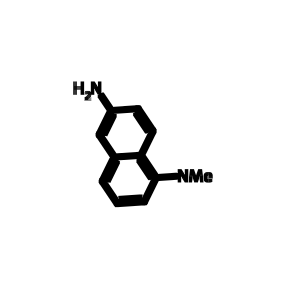 CNc1cccc2cc(N)ccc12